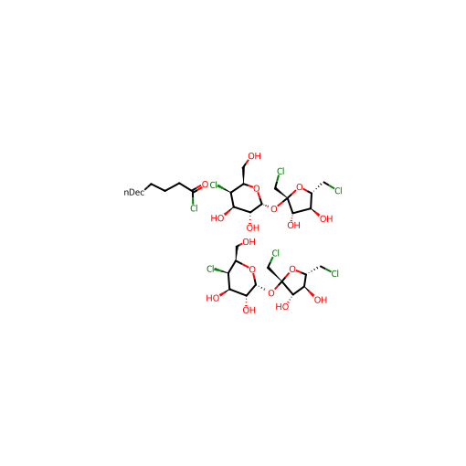 CCCCCCCCCCCCCC(=O)Cl.OC[C@H]1O[C@H](O[C@]2(CCl)O[C@H](CCl)[C@@H](O)[C@@H]2O)[C@H](O)[C@@H](O)[C@H]1Cl.OC[C@H]1O[C@H](O[C@]2(CCl)O[C@H](CCl)[C@@H](O)[C@@H]2O)[C@H](O)[C@@H](O)[C@H]1Cl